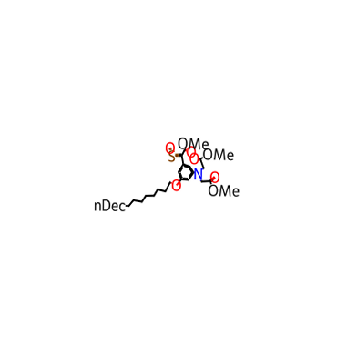 CCCCCCCCCCCCCCCCCCOc1cc(C(=S=O)C(=O)OC)cc(N(CC(=O)OC)CC(=O)OC)c1